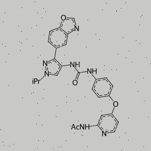 CC(=O)Nc1cc(Oc2ccc(NC(=O)Nc3cn(C(C)C)nc3-c3ccc4ocnc4c3)cc2)ccn1